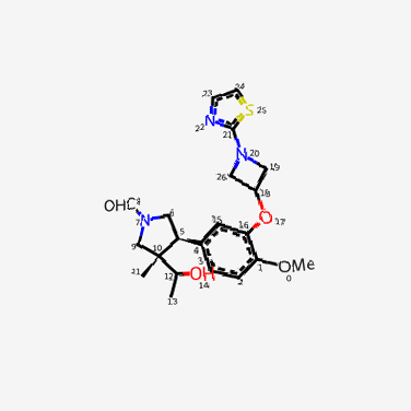 COc1ccc([C@@H]2CN(C=O)C[C@@]2(C)C(C)O)cc1OC1CN(c2nccs2)C1